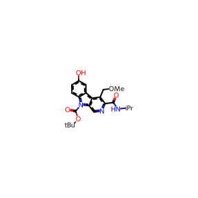 COCc1c(C(=O)NC(C)C)ncc2c1c1cc(O)ccc1n2C(=O)OC(C)(C)C